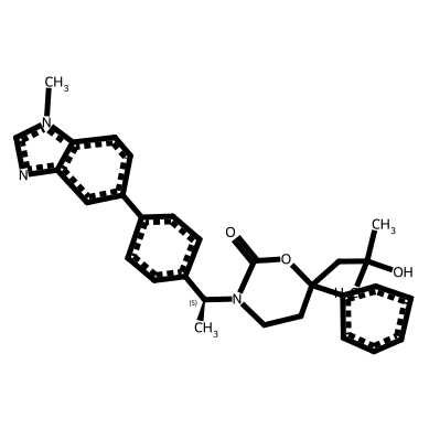 C[C@@H](c1ccc(-c2ccc3c(c2)ncn3C)cc1)N1CCC(CC(C)(C)O)(c2ccccc2)OC1=O